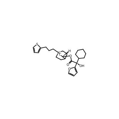 O=C(O[C@H]1C[N+]2(CCCc3cccs3)CCC1CC2)[C@@](O)(c1ccco1)C1CCCCC1